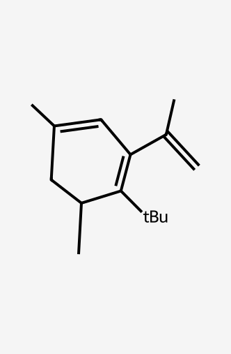 C=C(C)C1=C(C(C)(C)C)C(C)CC(C)=C1